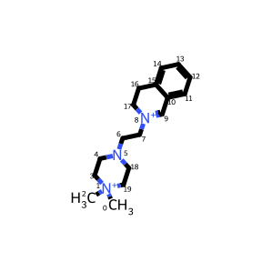 C[N+]1(C)CCN(CC[N+]2=Cc3ccccc3CC2)CC1